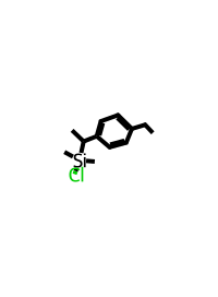 CCc1ccc(C(C)[Si](C)(C)Cl)cc1